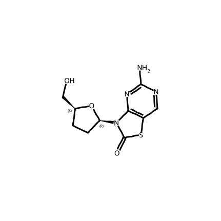 Nc1ncc2sc(=O)n([C@H]3CC[C@@H](CO)O3)c2n1